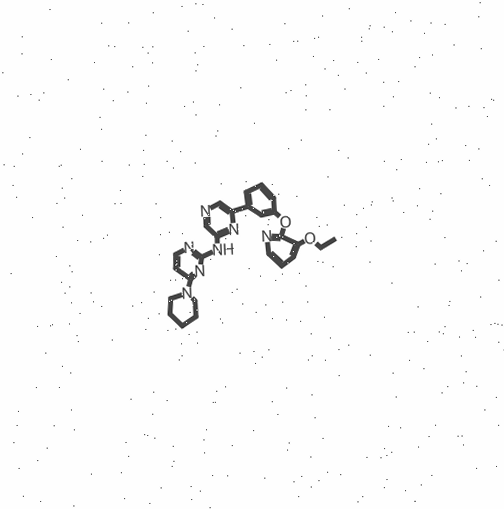 CCOc1cccnc1Oc1cccc(-c2cncc(Nc3nccc(N4CCCCC4)n3)n2)c1